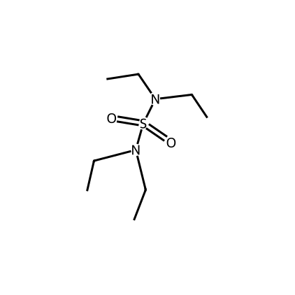 CCN(CC)S(=O)(=O)N(CC)CC